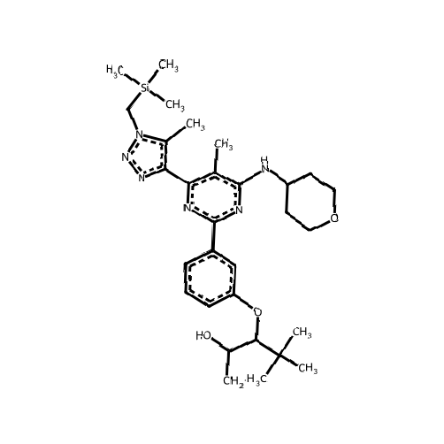 [CH2]C(O)C(Oc1cccc(-c2nc(NC3CCOCC3)c(C)c(-c3nnn(C[Si](C)(C)C)c3C)n2)c1)C(C)(C)C